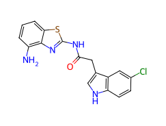 Nc1cccc2sc(NC(=O)Cc3c[nH]c4ccc(Cl)cc34)nc12